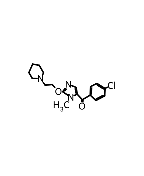 Cn1c(C(=O)c2ccc(Cl)cc2)cnc1OCCN1CCCCC1